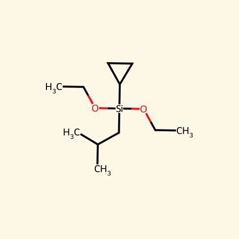 CCO[Si](CC(C)C)(OCC)C1CC1